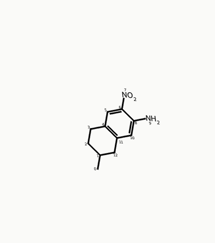 CC1CCc2cc([N+](=O)[O-])c(N)cc2C1